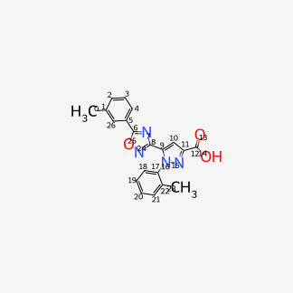 Cc1cccc(-c2nc(-c3cc(C(=O)O)nn3-c3ccccc3C)no2)c1